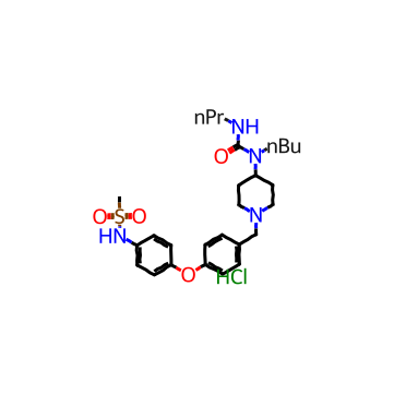 CCCCN(C(=O)NCCC)C1CCN(Cc2ccc(Oc3ccc(NS(C)(=O)=O)cc3)cc2)CC1.Cl